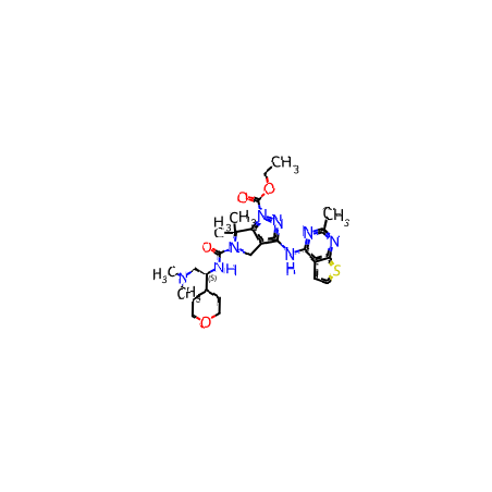 CCOC(=O)n1nc(Nc2nc(C)nc3sccc23)c2c1C(C)(C)N(C(=O)N[C@H](CN(C)C)C1CCOCC1)C2